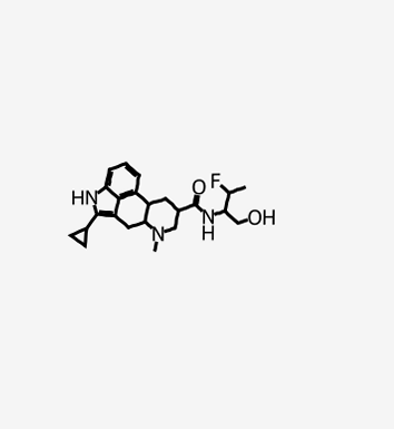 CC(F)C(CO)NC(=O)C1CC2c3cccc4[nH]c(C5CC5)c(c34)CC2N(C)C1